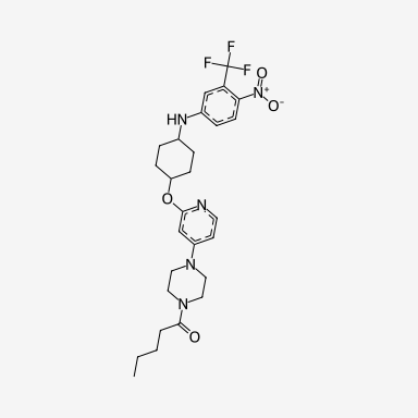 CCCCC(=O)N1CCN(c2ccnc(OC3CCC(Nc4ccc([N+](=O)[O-])c(C(F)(F)F)c4)CC3)c2)CC1